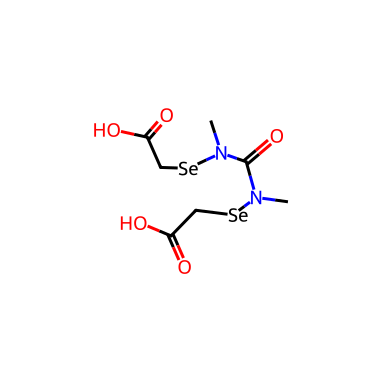 CN([Se]CC(=O)O)C(=O)N(C)[Se]CC(=O)O